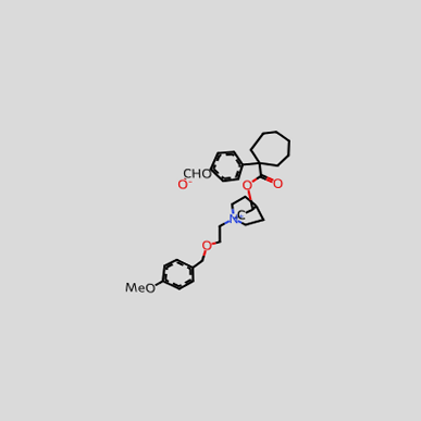 COc1ccc(COCC[N+]23CCC(CC2)C(OC(=O)C2(c4ccccc4)CCCCCC2)C3)cc1.O=C[O-]